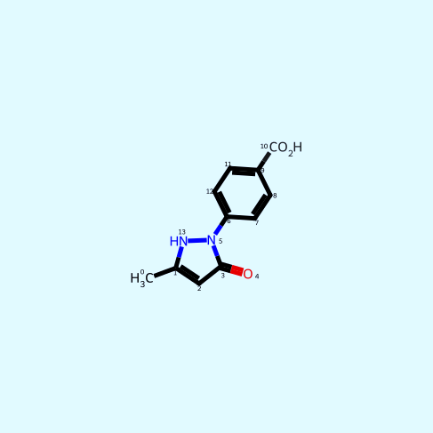 Cc1cc(=O)n(-c2ccc(C(=O)O)cc2)[nH]1